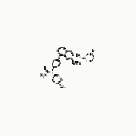 CCN1CCCC(COc2cc3ncnc(-c4ccc(C(C(N)=O)c5ccc(C(F)(F)F)nc5)cc4)c3cc2OC)C1